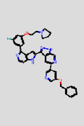 Fc1cc(OCCN2CCCC2)cc(-c2nccc3[nH]c(-c4n[nH]c5cnc(-c6cncc(OCc7ccccc7)c6)cc45)cc23)c1